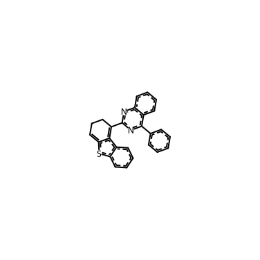 C1=c2sc3ccccc3c2=C(c2nc(-c3ccccc3)c3ccccc3n2)CC1